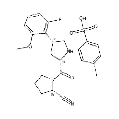 COc1cccc(F)c1[C@@H]1CN[C@H](C(=O)N2CCC[C@H]2C#N)C1.Cc1ccc(S(=O)(=O)O)cc1